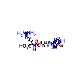 NC(N)=NCCC[C@H](NC(=O)OCCCCCn1cnc2c(=O)[nH]cnc21)C(=O)O